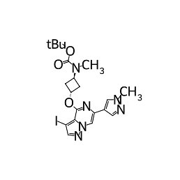 Cn1cc(-c2cn3ncc(I)c3c(O[C@H]3C[C@H](N(C)C(=O)OC(C)(C)C)C3)n2)cn1